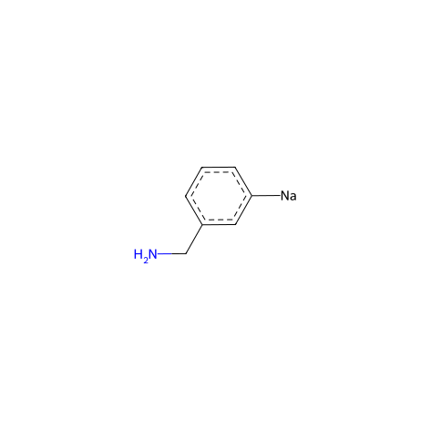 NCc1ccc[c]([Na])c1